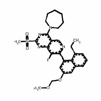 CCc1cccc2cc(OCOC)cc(-c3ncc4c(N5CCCCCC5)nc(S(C)(=O)=O)nc4c3F)c12